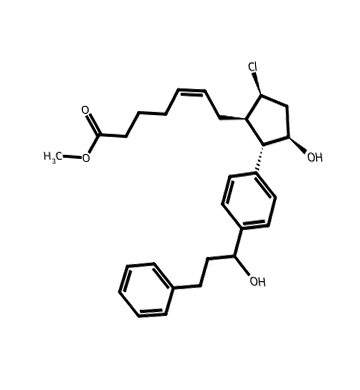 COC(=O)CCC/C=C\C[C@@H]1[C@@H](c2ccc(C(O)CCc3ccccc3)cc2)[C@H](O)C[C@@H]1Cl